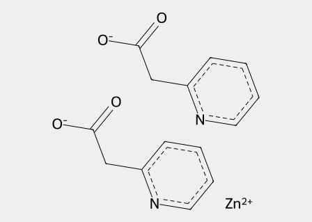 O=C([O-])Cc1ccccn1.O=C([O-])Cc1ccccn1.[Zn+2]